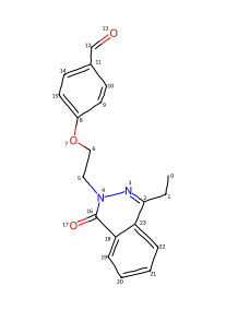 CCc1nn(CCOc2ccc(C=O)cc2)c(=O)c2ccccc12